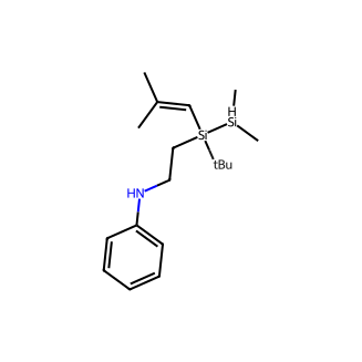 CC(C)=C[Si](CCNc1ccccc1)([SiH](C)C)C(C)(C)C